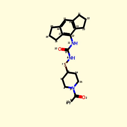 CC(C)C(=O)N1CCC(SNC(=O)Nc2c3c(cc4c2CCC4)CCC3)CC1